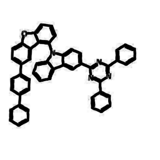 c1ccc(-c2ccc(-c3ccc4oc5cccc(-n6c7ccccc7c7cc(-c8nc(-c9ccccc9)nc(-c9ccccc9)n8)ccc76)c5c4c3)cc2)cc1